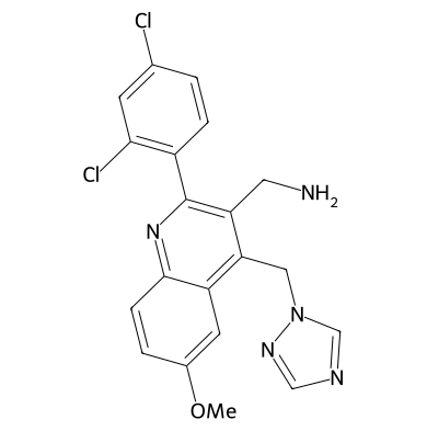 COc1ccc2nc(-c3ccc(Cl)cc3Cl)c(CN)c(Cn3cncn3)c2c1